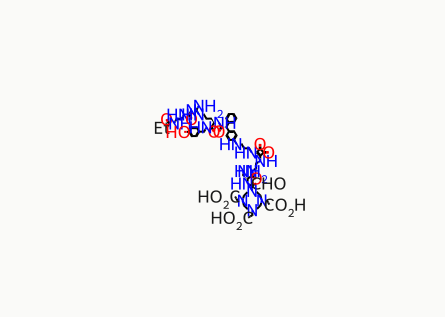 CCC(=O)NCCNC(=O)/N=C(/N)NCCC[C@@H](NC(=O)[C@H](c1ccccc1)c1ccc(NCCCNc2c(NCCNC(=O)[C@@H](CN)NC(C=O)N3CCN(CC(=O)O)CCN(CC(=O)O)CCN(CC(=O)O)CC3)c(=O)c2=O)cc1)C(=O)NCc1ccc(O)cc1